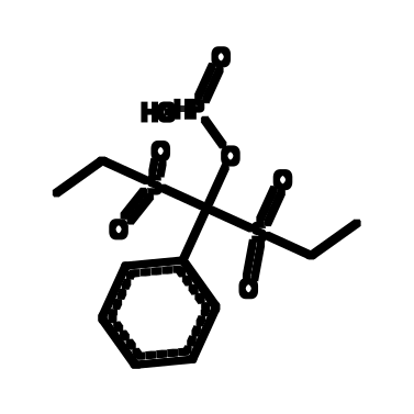 CCS(=O)(=O)C(O[PH](=O)O)(c1ccccc1)S(=O)(=O)CC